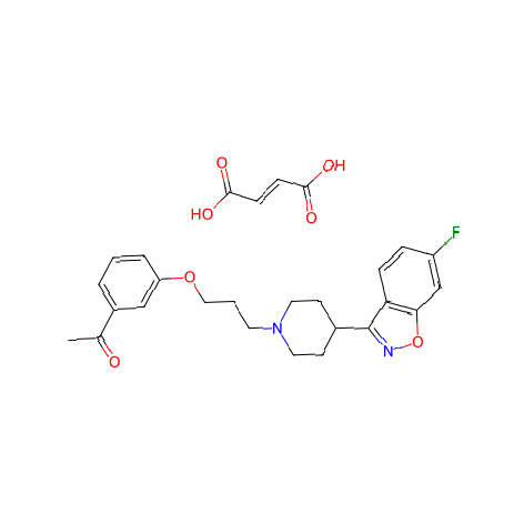 CC(=O)c1cccc(OCCCN2CCC(c3noc4cc(F)ccc34)CC2)c1.O=C(O)C=CC(=O)O